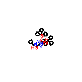 OC1C(OC(c2ccccc2)(c2ccccc2)c2ccccc2)[C@@H](COC(c2ccccc2)(c2ccccc2)c2ccccc2)O[C@H]1n1cnc2c1N=CN(Cc1ccccc1)C2O